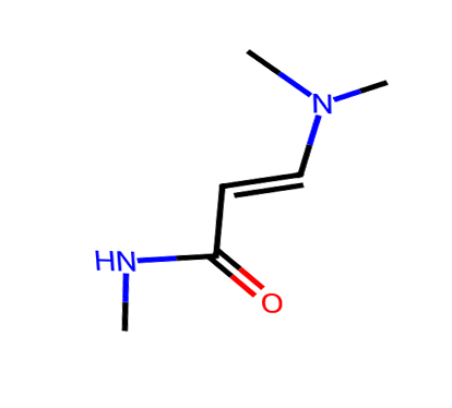 CNC(=O)C=CN(C)C